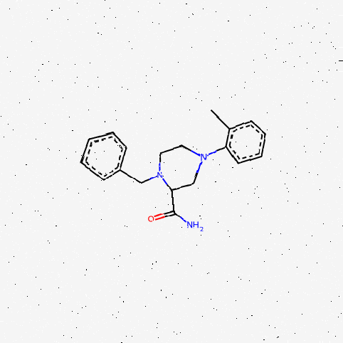 Cc1ccccc1N1CCN(Cc2ccccc2)C(C(N)=O)C1